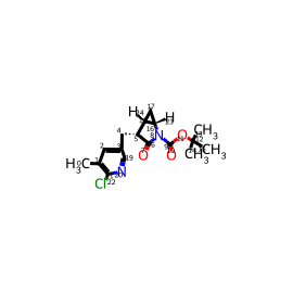 Cc1cc(C[C@H]2C(=O)N(C(=O)OC(C)(C)C)[C@H]3C[C@@H]23)cnc1Cl